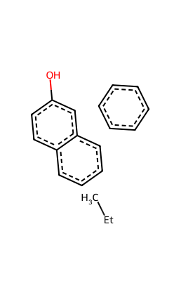 CCC.Oc1ccc2ccccc2c1.c1ccccc1